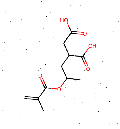 C=C(C)C(=O)OC(C)CC(CC(=O)O)C(=O)O